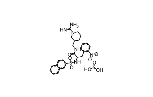 N=C(N)N1CCCC(CNC(=O)[C@@H](Cc2ccccc2[N+](=O)[O-])NS(=O)(=O)c2ccc3ccccc3c2)C1.O=S(O)O